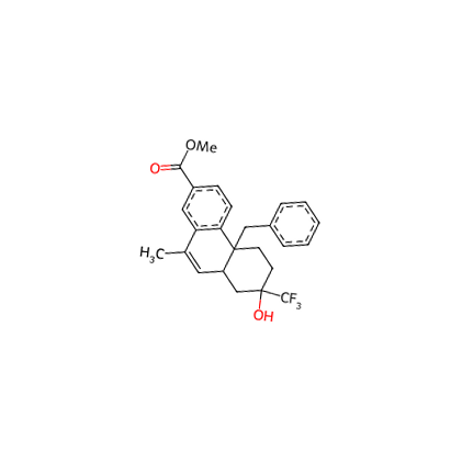 COC(=O)c1ccc2c(c1)C(C)=CC1CC(O)(C(F)(F)F)CCC21Cc1ccccc1